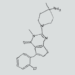 Cn1c(N2CCC(C)(N)CC2)nc2scc(-c3ccccc3Cl)c2c1=O